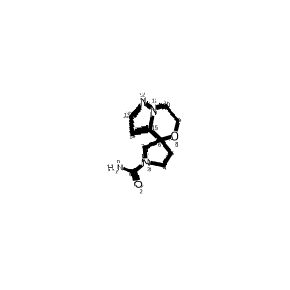 NC(=O)N1CCC2(C1)OCCn1nccc12